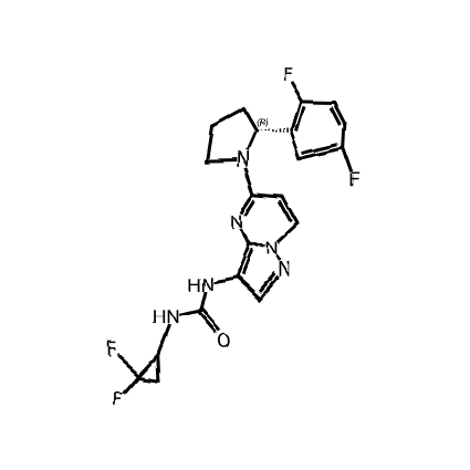 O=C(Nc1cnn2ccc(N3CCC[C@@H]3c3cc(F)ccc3F)nc12)NC1CC1(F)F